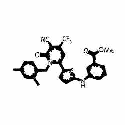 COC(=O)c1cccc(Nc2ccc(-c3cc(C(F)(F)F)c(C#N)c(=O)n3Cc3ccc(C)cc3C)s2)c1